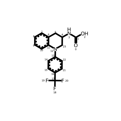 O=C(O)NC1Cc2ccccc2N(c2ccc(C(F)(F)F)cc2)C1